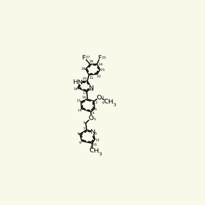 COc1cc(OCc2ccc(C)cn2)ccc1-c1c[nH]c(-c2ccc(F)c(F)c2)n1